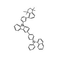 CC1(C)CCC(C)(C)c2c(-c3cccc(-n4c5ccccc5c5cc(-c6ccc(N(c7ccccc7)c7cccc8ccccc78)cc6)ccc54)c3)cccc21